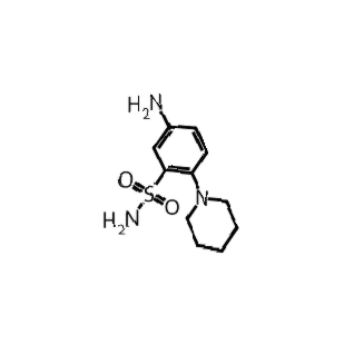 Nc1ccc(N2CCCCC2)c(S(N)(=O)=O)c1